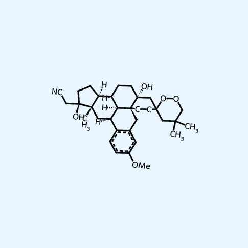 COc1ccc2c(c1)C[C@]13CCC4(CC(C)(C)COO4)C[C@]1(O)CC[C@@H]1[C@@H]3[C@@H]2C[C@@]2(C)[C@H]1CC[C@@]2(O)CC#N